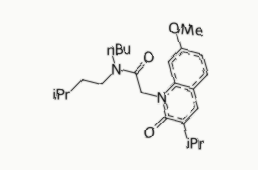 CCCCN(CCC(C)C)C(=O)Cn1c(=O)c(C(C)C)cc2ccc(OC)cc21